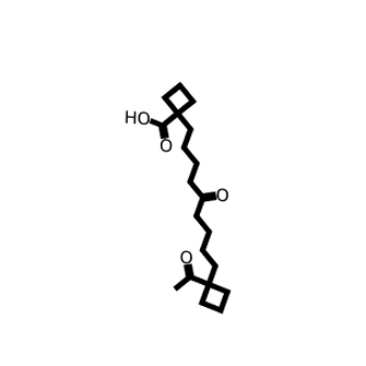 CC(=O)C1(CCCCC(=O)CCCCC2(C(=O)O)CCC2)CCC1